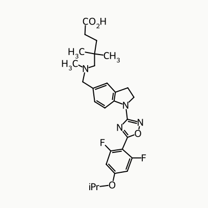 CC(C)Oc1cc(F)c(-c2nc(N3CCc4cc(CN(C)CC(C)(C)CCC(=O)O)ccc43)no2)c(F)c1